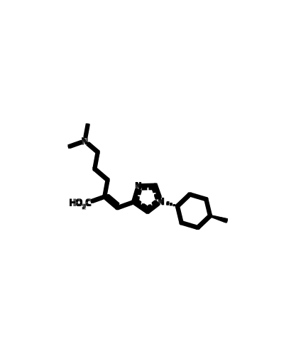 CN(C)CCC/C(=C\c1cn([C@H]2CC[C@H](C)CC2)cn1)C(=O)O